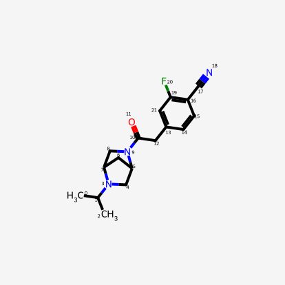 CC(C)N1CC2CC1CN2C(=O)Cc1ccc(C#N)c(F)c1